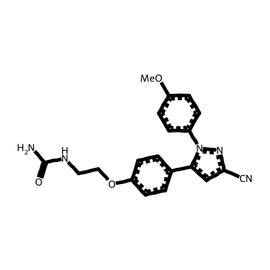 COc1ccc(-n2nc(C#N)cc2-c2ccc(OCCNC(N)=O)cc2)cc1